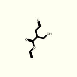 C=COC(=O)C(CO)CC=O